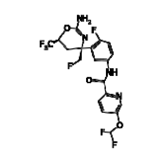 NC1=N[C@](CF)(c2cc(NC(=O)c3ccc(OC(F)F)cn3)ccc2F)C[C@@H](C(F)(F)F)O1